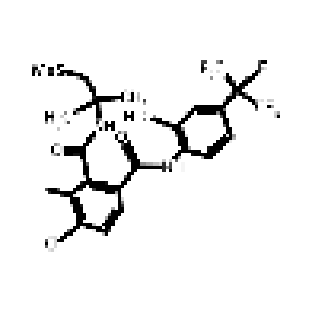 CSCC(C)(C)NC(=O)c1c(C(=O)Nc2ccc(C(F)(C(F)(F)F)C(F)(F)F)cc2C)ccc(Cl)c1I